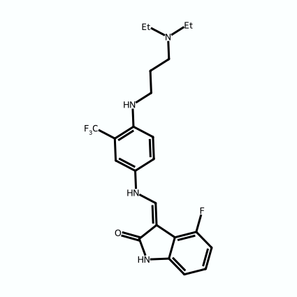 CCN(CC)CCCNc1ccc(NC=C2C(=O)Nc3cccc(F)c32)cc1C(F)(F)F